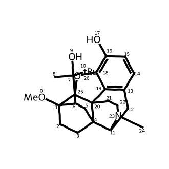 COC12CCC3(CC1C(C)(O)C(C)(C)C)C1Cc4ccc(O)c5c4C3(CCN1C)C2O5